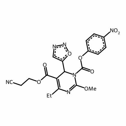 CCC1=C(C(=O)OCCC#N)C(c2cnno2)N(C(=O)Oc2ccc([N+](=O)[O-])cc2)C(OC)=N1